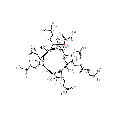 C/C1=C2/[N-][C@H]([C@H](CC(N)=O)[C@@]2(C)CCC(=O)NC[C@@H](C)O)[C@]2(C)N=C(/C(C)=C3N=C(/C=C4N=C1[C@@H](CCC(N)=O)C\4(C)C)[C@@H](CCC(N)=O)[C@]\3(C)CC(N)=O)[C@@H](CCC(N)=O)[C@]2(C)CC(N)=O.[Co]